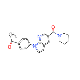 CC(=O)c1ccc(-n2ccc3cc(C(=O)N4CCCCC4)cnc32)cc1